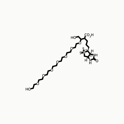 O=C1N[C@H]2[C@H](CS(=S)(=S)[C@H]2CCCC(C(=O)O)C(CO)OCCOCCOCCOCCOCCOCCOCCO)N1